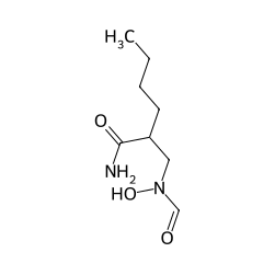 CCCCC(CN(O)C=O)C(N)=O